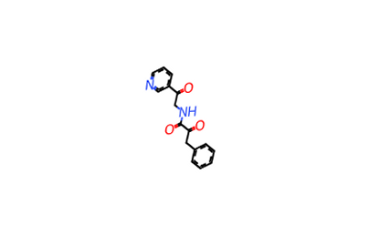 O=C(Cc1ccccc1)C(=O)NCC(=O)c1cccnc1